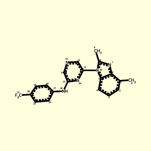 Cc1cccc2c1nc(C)n2-c1cncc(Nc2ccc(C(F)(F)F)cc2)n1